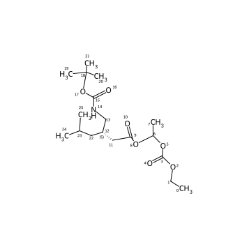 CCOC(=O)OC(C)OC(=O)C[C@@H](CNC(=O)OC(C)(C)C)CC(C)C